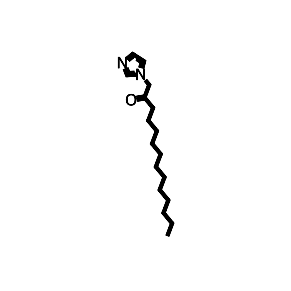 CCCCCCCCCCCCC(=O)Cn1ccnc1